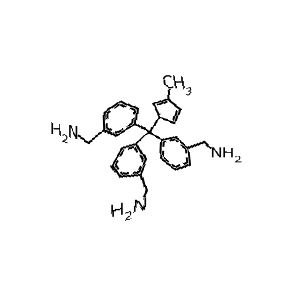 CC1=C[C](C(c2cccc(CN)c2)(c2cccc(CN)c2)c2cccc(CN)c2)C=C1